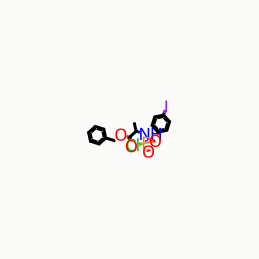 CC(NP(=O)(Cl)Oc1ccc(I)cc1)C(=O)OCc1ccccc1